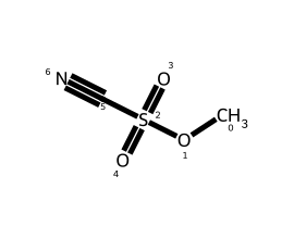 COS(=O)(=O)C#N